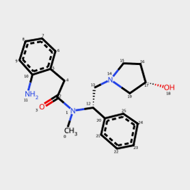 CN(C(=O)Cc1ccccc1N)[C@H](CN1CC[C@H](O)C1)c1ccccc1